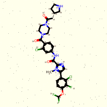 Cn1c(-c2ccc(OC(F)F)c(F)c2Cl)cnc1C(=O)Nc1ccc(C(=O)N2CCN(C(=O)C[C@@H]3CCNC3)CC2)c(Cl)c1